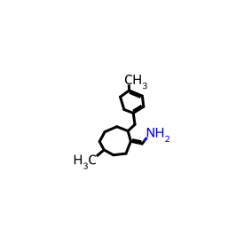 CC1=CC=C(CC2CCCC(C)CC/C2=C/N)CC1